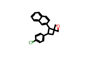 Clc1ccc(C2CC3(COC3)C2c2ccc3ccccc3c2)cc1